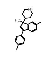 Cc1ccc2c(c1)C(O)(C1CCNCC1)C=C2c1ccc(F)cc1